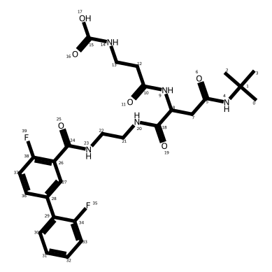 CC(C)(C)NC(=O)CC(NC(=O)CCNC(=O)O)C(=O)NCCNC(=O)c1cc(-c2ccccc2F)ccc1F